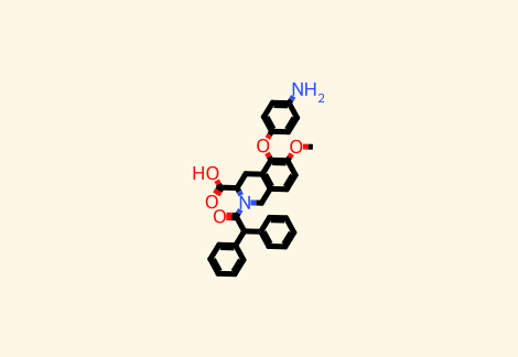 COc1ccc2c(c1Oc1ccc(N)cc1)CC(C(=O)O)N(C(=O)C(c1ccccc1)c1ccccc1)C2